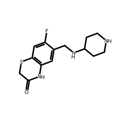 O=C1CSc2cc(F)c(CNC3CCNCC3)cc2N1